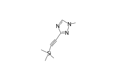 Cn1cnc(C#C[Si](C)(C)C)n1